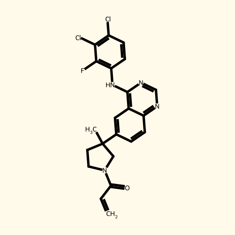 C=CC(=O)N1CCC(C)(c2ccc3ncnc(Nc4ccc(Cl)c(Cl)c4F)c3c2)C1